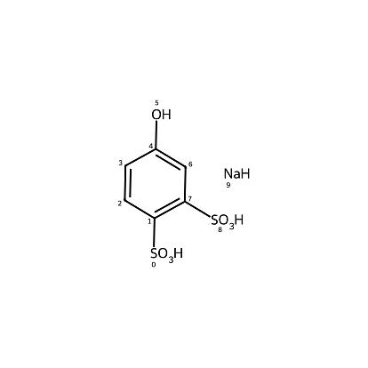 O=S(=O)(O)c1ccc(O)cc1S(=O)(=O)O.[NaH]